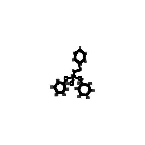 O=P(C=Cc1ccccc1)(Oc1ccccc1)Oc1ccccc1